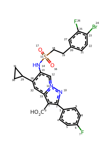 O=C(O)c1c(-c2ccc(F)cc2)nn2cc(NS(=O)(=O)CCc3ccc(Br)c(F)c3)c(C3CC3)cc12